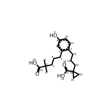 CC(C)(CCCc1cc(O)ccc1CCCC1(C(=O)O)CC1)C(=O)O